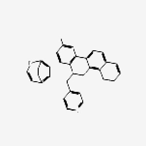 C1=CC2=CC=C(CC2)N1.Fc1ccc2c(c1)-c1ccc3c(c1CC2Cc1ccncc1)CCC=C3